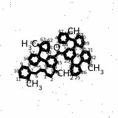 C=C(/C=C\C=C/Cc1ccccc1C)c1cc(C(=O)c2cc(-c3ccccc3-c3ccccc3C)cc(-c3ccccc3-c3ccccc3C)c2)cc(-c2ccccc2-c2ccccc2C)c1